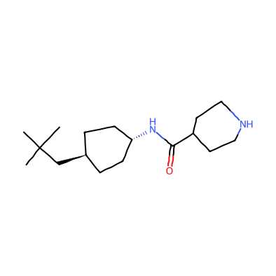 CC(C)(C)C[C@H]1CC[C@H](NC(=O)C2CCNCC2)CC1